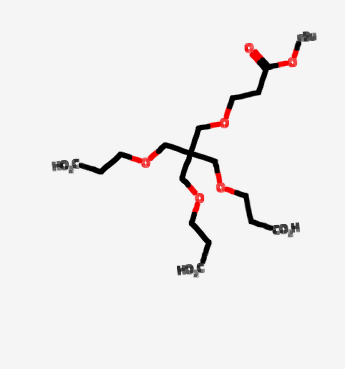 CCCCOC(=O)CCOCC(COCCC(=O)O)(COCCC(=O)O)COCCC(=O)O